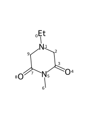 CCN1CC(=O)N(C)C(=O)C1